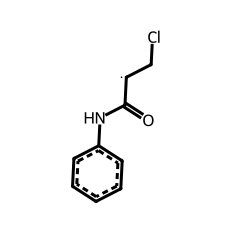 O=C([CH]CCl)Nc1ccccc1